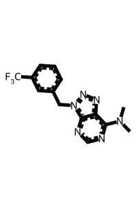 CN(C)c1ncnc2c1nnn2Cc1cccc(C(F)(F)F)c1